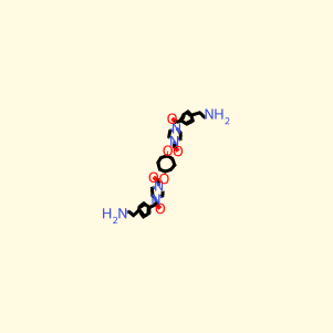 NCCc1ccc(C(=O)N2CCN(C(=O)O[C@H]3CCC[C@@H](OC(=O)N4CCN(C(=O)c5ccc(CCN)cc5)CC4)CCC3)CC2)cc1